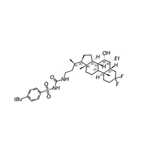 CC[C@H]1[C@@H](O)[C@@H]2[C@H](CC[C@]3(C)[C@@H]([C@H](C)CCNC(=O)NS(=O)(=O)c4ccc(C(C)(C)C)cc4)CC[C@@H]23)[C@@]2(C)CCC(F)(F)C[C@@H]12